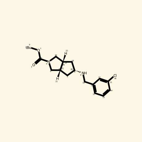 CC(C)(C)OC(=O)N1C[C@H]2C[C@@H](NCc3cccc(Cl)c3)C[C@H]2C1